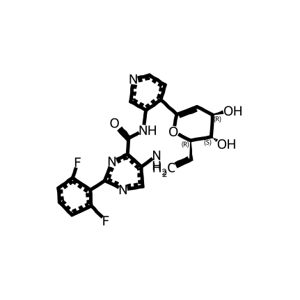 C=C[C@H]1OC(c2ccncc2NC(=O)c2nc(-c3c(F)cccc3F)ncc2N)=C[C@@H](O)[C@@H]1O